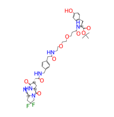 CC(C)(C)OC(=O)[C@H](Cc1ccc(O)cc1)NC(=O)CCOCCOCCNC(=O)Cc1ccc(CNC(=O)C[C@@H]2C[C@@H](C(=O)N3CC(F)(F)C[C@H]3C#N)NC2=O)cc1